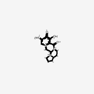 O=Cc1cn2c(c(O)c1=O)C(=O)N1CCC3CCCN3C1C2